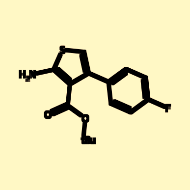 CC(C)(C)OC(=O)c1c(-c2ccc(F)cc2)csc1N